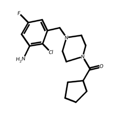 Nc1cc(F)cc(CN2CCN(C(=O)C3CCCC3)CC2)c1Cl